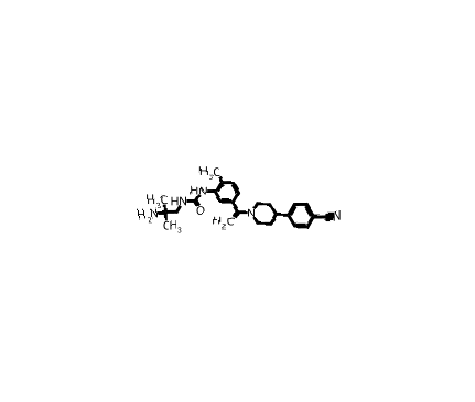 C=C(c1ccc(C)c(NC(=O)NCC(C)(C)N)c1)N1CCC(c2ccc(C#N)cc2)CC1